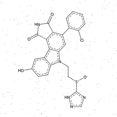 O=C1NC(=O)c2c1c(-c1ccccc1Cl)cc1c2c2cc(O)ccc2n1CC[S+]([O-])c1ncn[nH]1